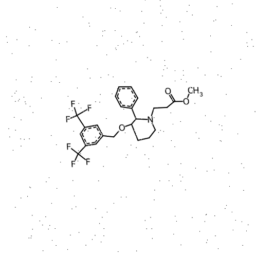 COC(=O)CCN1CCCC(OCc2cc(C(F)(F)F)cc(C(F)(F)F)c2)C1c1ccccc1